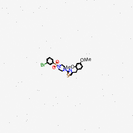 COc1ccc(Cc2csc(N3CCN(S(=O)(=O)c4cccc(Br)c4)CC3)n2)c(OC)c1